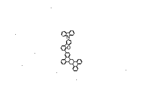 c1ccc2c(c1)-c1ccccc1C1CC3c4ccc(-c5cccc6c5oc5ccc(-n7c8ccccc8c8ccccc87)cc56)cc4-c4ccccc4C3CC21